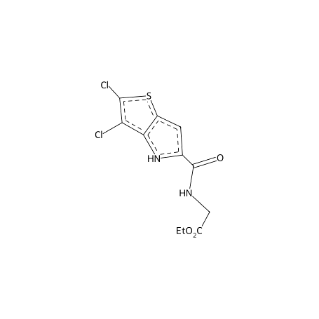 CCOC(=O)CNC(=O)c1cc2sc(Cl)c(Cl)c2[nH]1